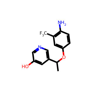 CC(Oc1ccc(N)c(C(F)(F)F)c1)c1cncc(O)c1